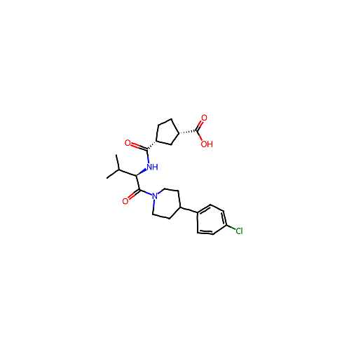 CC(C)[C@@H](NC(=O)[C@@H]1CC[C@H](C(=O)O)C1)C(=O)N1CCC(c2ccc(Cl)cc2)CC1